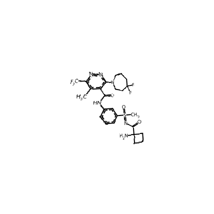 Cc1c(C(F)(F)F)nnc(N2CCCC(F)(F)CC2)c1C(=O)Nc1cccc(S(C)(=O)=NC(=O)C2(N)CCC2)c1